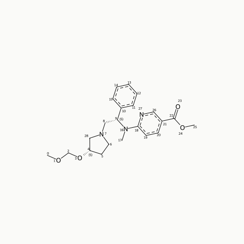 COCO[C@H]1CCN(C[C@H](c2ccccc2)N(C)c2ccc(C(=O)OC)cn2)C1